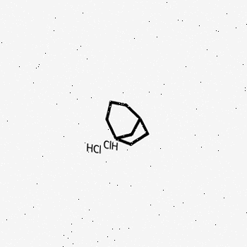 C1CC2CCC(C1)C2.Cl.Cl